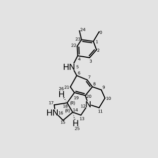 Cc1ccc(NC2C=C3CCCN4C[C@H]5CNC[C@H]5C(=C34)C2)cc1C